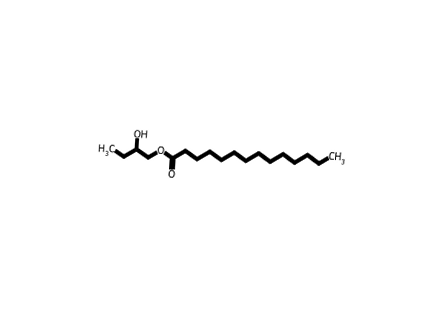 CCCCCCCCCCCCCC(=O)OCC(O)CC